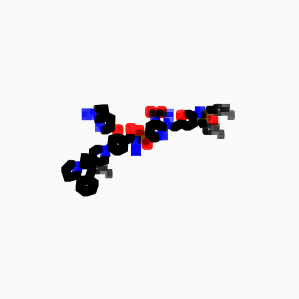 CCc1ccccc1[C@@H]1CCCN1C1CC2(CCN(c3ccc(C(=O)NS(=O)(=O)c4cnc(NCC5CCC(N=S(=O)(CC)CC)CO5)c([N+](=O)[O-])c4)c(Oc4cnc5[nH]ccc5c4)c3)CC2)C1